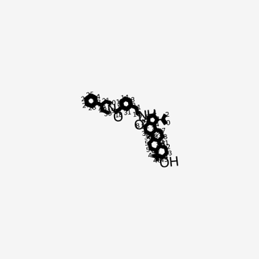 C=C(C)[C@@H]1CC[C@]2(C(=O)NCCc3cccc(C(=O)N4CCC(c5ccccc5)CC4)c3)CC[C@]3(C)C(CCC4[C@@]5(C)CC[C@H](O)C(C)(C)C5CC[C@]43C)C12